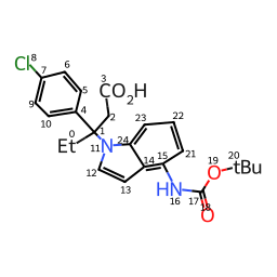 CCC(CC(=O)O)(c1ccc(Cl)cc1)n1ccc2c(NC(=O)OC(C)(C)C)cccc21